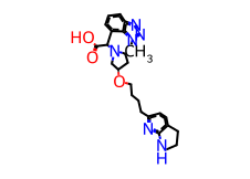 Cn1nnc2cccc(C(C(=O)O)N3CC[C@@H](OCCCCc4ccc5c(n4)NCCC5)C3)c21